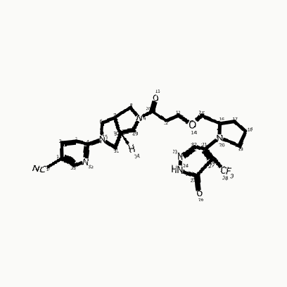 N#Cc1ccc(N2CC3CN(C(=O)CCOCC4CCCN4c4cn[nH]c(=O)c4C(F)(F)F)C[C@@H]3C2)nc1